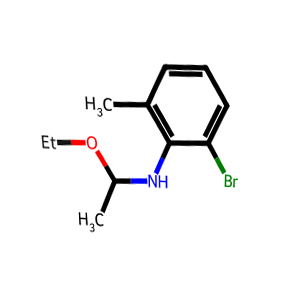 CCOC(C)Nc1c(C)cccc1Br